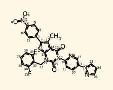 Cc1c(-c2ccc([N+](=O)[O-])cc2)sc2c1c(=O)n(-c1ccc(-n3cccn3)cn1)c(=O)n2Cc1c(F)cccc1F